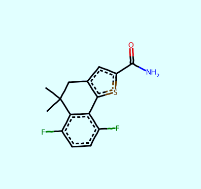 CC1(C)Cc2cc(C(N)=O)sc2-c2c(F)ccc(F)c21